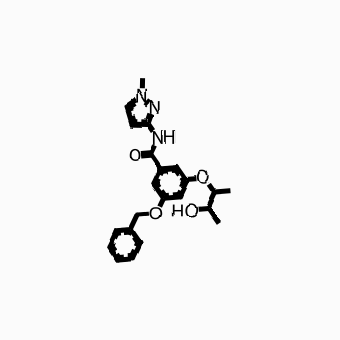 CC(O)C(C)Oc1cc(OCc2ccccc2)cc(C(=O)Nc2ccn(C)n2)c1